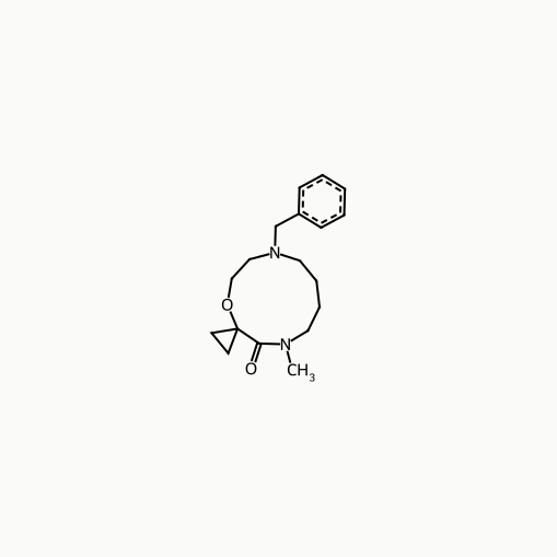 CN1CCCCN(Cc2ccccc2)CCOC2(CC2)C1=O